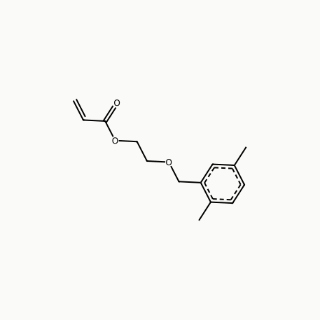 C=CC(=O)OCCOCc1cc(C)ccc1C